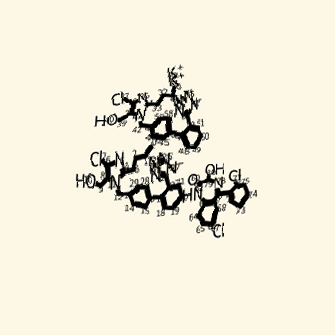 CCCCc1nc(Cl)c(CO)n1Cc1ccc(-c2ccccc2-c2nnn[n-]2)cc1.CCCCc1nc(Cl)c(CO)n1Cc1ccc(-c2ccccc2-c2nnn[n-]2)cc1.O=C1Nc2ccc(Cl)cc2C(c2ccccc2Cl)=NC1O.[K+].[K+]